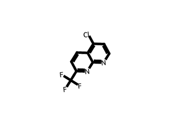 FC(F)(F)c1ccc2c(Cl)ccnc2n1